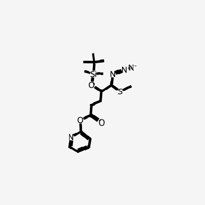 CSC(N=[N+]=[N-])C(CCC(=O)Oc1ccccn1)O[Si](C)(C)C(C)(C)C